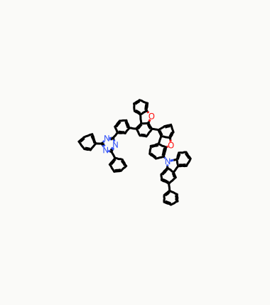 c1ccc(-c2ccc3c(c2)c2ccccc2n3-c2cccc3c2oc2cccc(-c4ccc(-c5cccc(-c6nc(-c7ccccc7)nc(-c7ccccc7)n6)c5)c5c4oc4ccccc45)c23)cc1